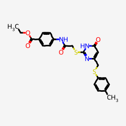 CCOC(=O)c1ccc(NC(=O)CSc2nc(CSc3ccc(C)cc3)cc(=O)[nH]2)cc1